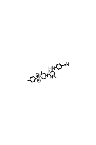 Cc1ccc(S(=O)(=O)N2CCN(c3nc(C)cc(Nc4ccc(C#N)cc4)n3)CC2(C)C)cc1